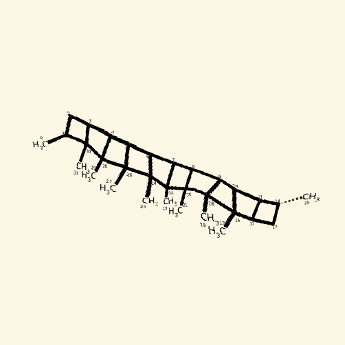 CC1CC2C3C4C5C6C7C8C9C%10C(C[C@H]%10C)C9(C)C8(C)C7(C)C6(C)C5(C)C4(C)C3(C)C12C